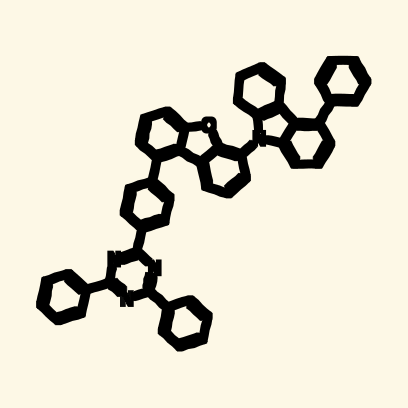 C1=Cc2c(n(-c3cccc4c3oc3cccc(-c5ccc(-c6nc(-c7ccccc7)nc(-c7ccccc7)n6)cc5)c34)c3cccc(-c4ccccc4)c23)CC1